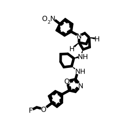 O=[N+]([O-])c1ccc(N2C[C@@H]3C[C@H](N[C@@H]4CCCC[C@H]4Nc4ncc(-c5ccc(OCF)cc5)o4)[C@H]2C3)cc1